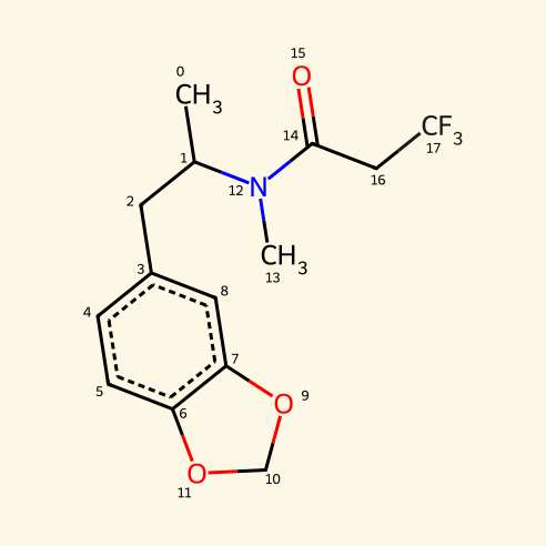 CC(Cc1ccc2c(c1)OCO2)N(C)C(=O)CC(F)(F)F